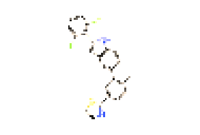 Cc1ccc(-c2nccs2)cc1-c1ccc2[nH]c(-c3c(F)cccc3F)cc2c1